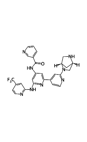 O=C(Nc1cc(Nc2cc(C(F)(F)F)ccn2)nc(-c2ccnc(N3C[C@@H]4C[C@H]3CN4)c2)c1)c1cccnc1